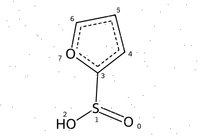 O=S(O)c1ccco1